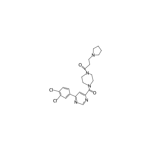 O=C(CCN1CCCC1)N1CCN(C(=O)c2cc(-c3ccc(Cl)c(Cl)c3)ncn2)CC1